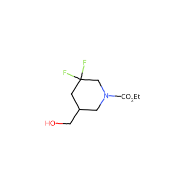 CCOC(=O)N1CC(CO)CC(F)(F)C1